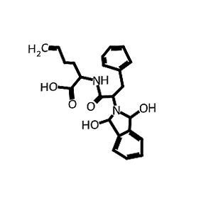 C=CCCC(NC(=O)C(Cc1ccccc1)N1C(O)c2ccccc2C1O)C(=O)O